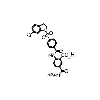 CCCCCC(=O)c1ccc(NC(=O)c2ccc(S(=O)(=O)N3CCc4ccc(Cl)cc43)cc2)c(C(=O)O)c1